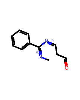 C/N=C(\N=C/CC=O)c1ccccc1